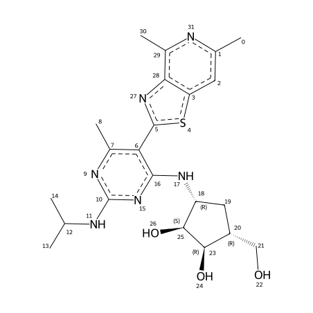 Cc1cc2sc(-c3c(C)nc(NC(C)C)nc3N[C@@H]3C[C@H](CO)[C@@H](O)[C@H]3O)nc2c(C)n1